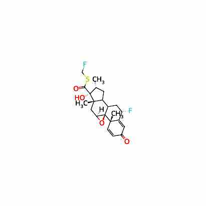 C[C@@H]1CC2C3C[C@H](F)C4=CC(=O)C=C[C@]4(C)[C@@]34O[C@H]4C[C@]2(C)[C@@]1(O)C(=O)SCF